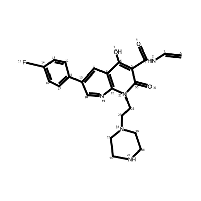 C=CNC(=O)c1c(O)c2cc(-c3ccc(F)cc3)cnc2n(CCN2CCNCC2)c1=O